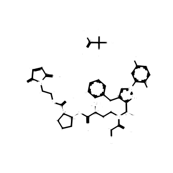 CC(C)(C)[C@H](c1nn(-c2cc(F)ccc2F)cc1Cc1ccccc1)N(CC[C@H](N)C(=O)N[C@H]1CCC[C@H]1C(=O)NCCN1C(=O)C=CC1=O)C(=O)CO.O=C(O)C(F)(F)F